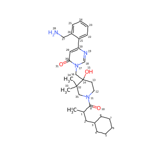 CC(CC1CCCCC1)C(=O)N1CCC(O)(Cn2cnc(-c3ccccc3CN)cc2=O)C(C)(C)C1